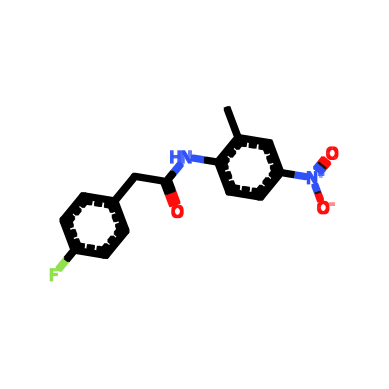 Cc1cc([N+](=O)[O-])ccc1NC(=O)Cc1ccc(F)cc1